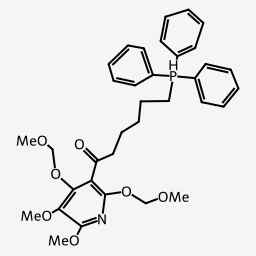 COCOc1nc(OC)c(OC)c(OCOC)c1C(=O)CCCCC[PH](c1ccccc1)(c1ccccc1)c1ccccc1